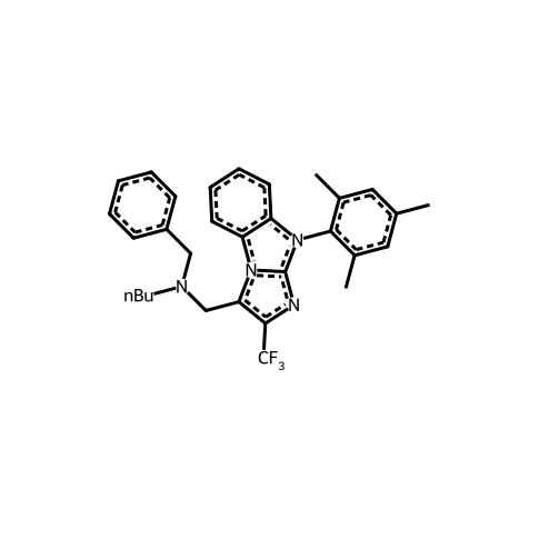 CCCCN(Cc1ccccc1)Cc1c(C(F)(F)F)nc2n(-c3c(C)cc(C)cc3C)c3ccccc3n12